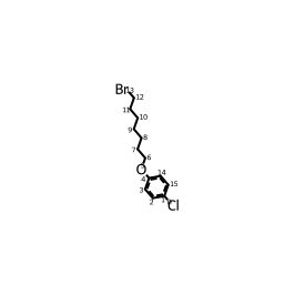 Clc1ccc(OCCCCCCCBr)cc1